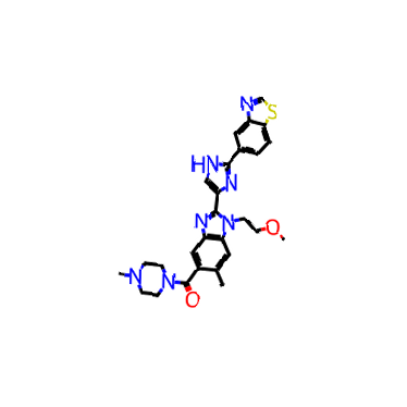 COCCn1c(-c2c[nH]c(-c3ccc4scnc4c3)n2)nc2cc(C(=O)N3CCN(C)CC3)c(C)cc21